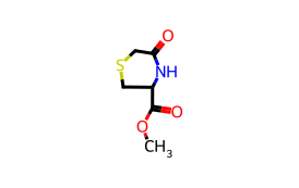 COC(=O)C1CSCC(=O)N1